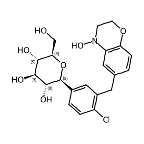 OC[C@H]1O[C@@H](c2ccc(Cl)c(Cc3ccc4c(c3)N(O)CCO4)c2)[C@H](O)[C@@H](O)[C@@H]1O